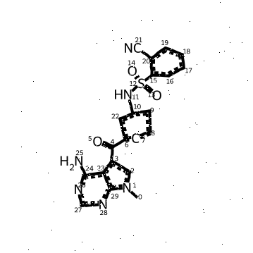 Cn1cc(C(=O)c2cccc(NS(=O)(=O)c3ccccc3C#N)c2)c2c(N)ncnc21